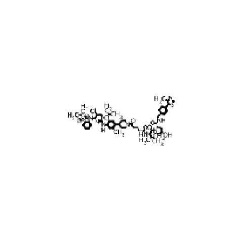 Cc1cc(Nc2ncc(Cl)c(Nc3ccccc3S(=O)(=O)C(C)C)n2)c(OC(C)C)cc1C1CCN(C(=O)CCCC(=O)N[C@H](C(=O)N2C[C@H](O)C[C@H]2C(=O)NCc2ccc(-c3scnc3C)cc2)C(C)(C)C)CC1